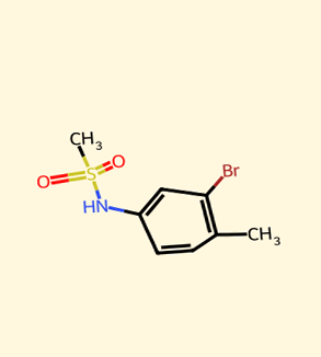 Cc1ccc(NS(C)(=O)=O)cc1Br